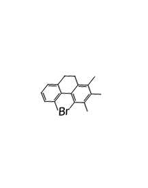 Cc1cccc2c1-c1c(Br)c(C)c(C)c(C)c1CC2